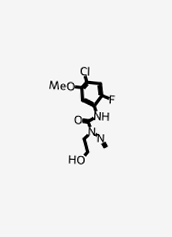 C=NN(CCO)C(=O)Nc1cc(OC)c(Cl)cc1F